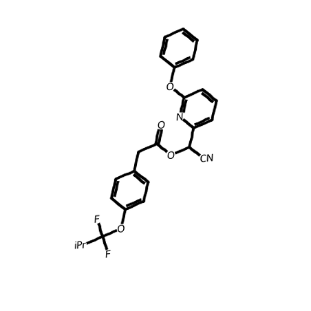 CC(C)C(F)(F)Oc1ccc(CC(=O)OC(C#N)c2cccc(Oc3ccccc3)n2)cc1